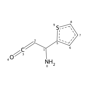 NC(C=C=O)c1cccs1